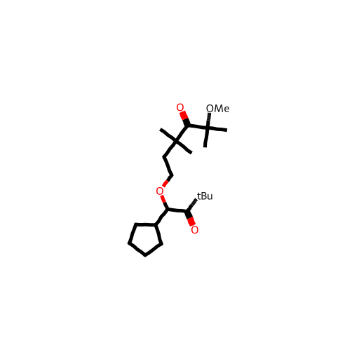 COC(C)(C)C(=O)C(C)(C)CCOC(C(=O)C(C)(C)C)C1CCCC1